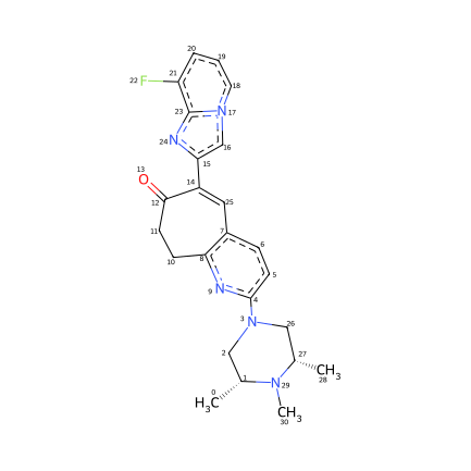 C[C@@H]1CN(c2ccc3c(n2)CCC(=O)C(c2cn4cccc(F)c4n2)=C3)C[C@H](C)N1C